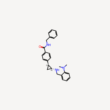 CN(C)c1ccccc1CN[C@@H]1C[C@H]1c1ccc(C(=O)NCc2ccccc2)cc1